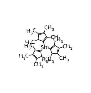 CC1=C(C)C(C)[C]([Sm]([C]2=C(C)C(C)=C(C)C2C)[C]2=C(C)C(C)=C(C)C2C)=C1C